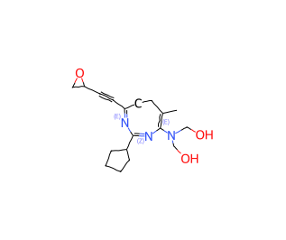 C/C1=C(N(CO)CO)/N=C(C2CCCC2)\N=C(\C#CC2CO2)CC1